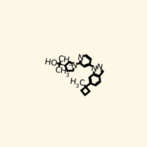 CC1(c2ccc3cnn(-c4ccnc(N5CC[C@@H](C(C)(C)O)C5)c4)c3c2)CCC1